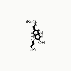 CC(C)C/C=C/[C@@H]1[C@H]2C/C(=C/COCC(C)C)C[C@H]2C[C@H]1O